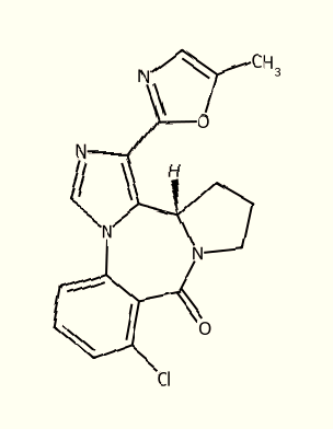 Cc1cnc(-c2ncn3c2[C@@H]2CCCN2C(=O)c2c(Cl)cccc2-3)o1